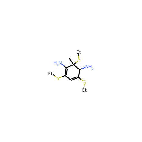 CCSC1=CC(SCC)=C(N)C(C)(SCC)C1N